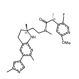 COc1cc([C@@H](C)C(=O)N(C)CC[C@@]2(C)CCc3cc(-c4cnn(C)c4)c(C)nc3N2)c(F)cn1